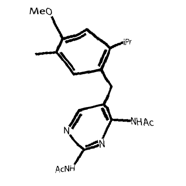 COc1cc(C(C)C)c(Cc2cnc(NC(C)=O)nc2NC(C)=O)cc1C